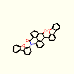 O=C1c2cccc3c(=O)n(-c4cccc5c4oc4ccccc45)c4cccc(c4c23)C1c1cccc2c1oc1ccccc12